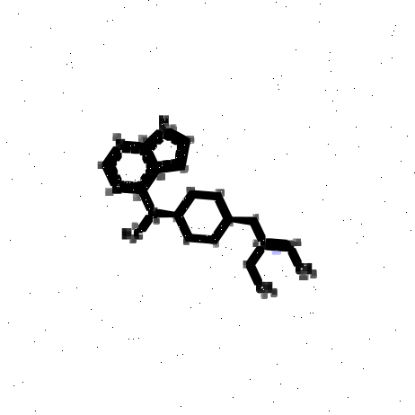 CC/S(C[C@H]1CC[C@@H](N(C)c2ncnc3[nH]ccc23)CC1)=N\C